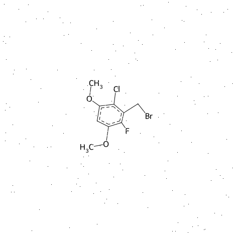 COc1cc(OC)c(Cl)c(CBr)c1F